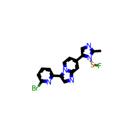 Cc1ncc(-c2ccn3c(-c4cccc(Br)n4)cnc3c2)n1SF